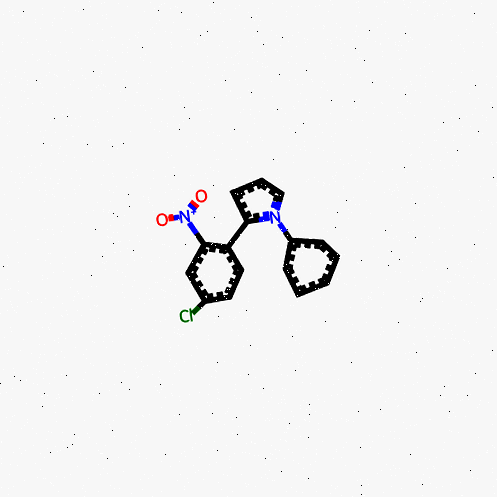 O=[N+]([O-])c1cc(Cl)ccc1-c1cccn1-c1ccccc1